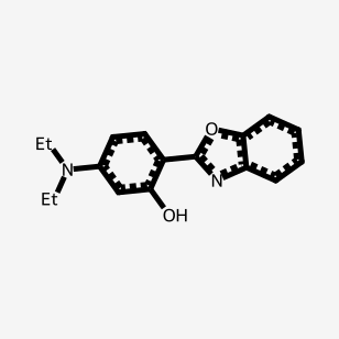 CCN(CC)c1ccc(-c2nc3ccccc3o2)c(O)c1